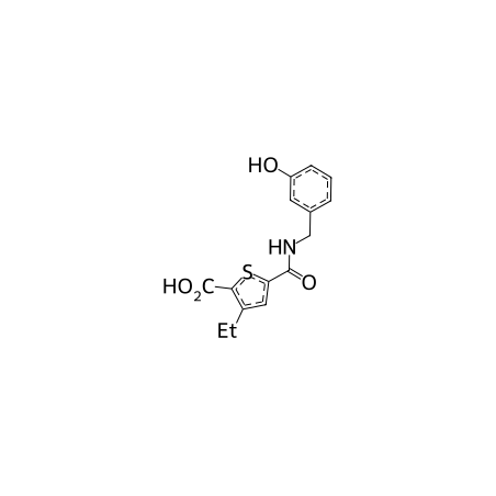 CCc1cc(C(=O)NCc2cccc(O)c2)sc1C(=O)O